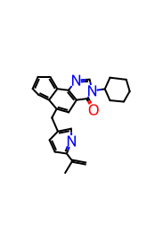 C=C(C)c1ccc(Cc2cc3c(=O)n(C4CCCCC4)cnc3c3ccccc23)cn1